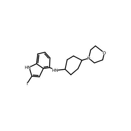 Ic1cc2c(NC3CCC(N4CCOCC4)CC3)cccc2[nH]1